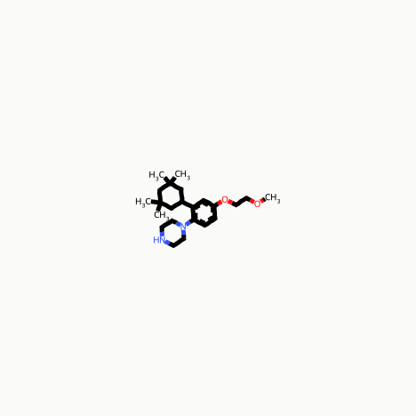 COCCOc1ccc(N2CCNCC2)c(C2CC(C)(C)CC(C)(C)C2)c1